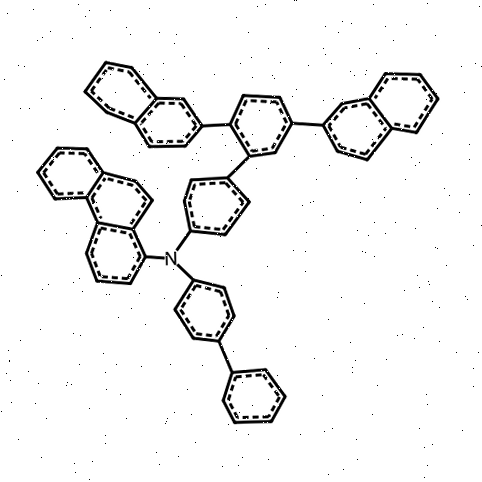 c1ccc(-c2ccc(N(c3ccc(-c4cc(-c5ccc6ccccc6c5)ccc4-c4ccc5ccccc5c4)cc3)c3cccc4c3ccc3ccccc34)cc2)cc1